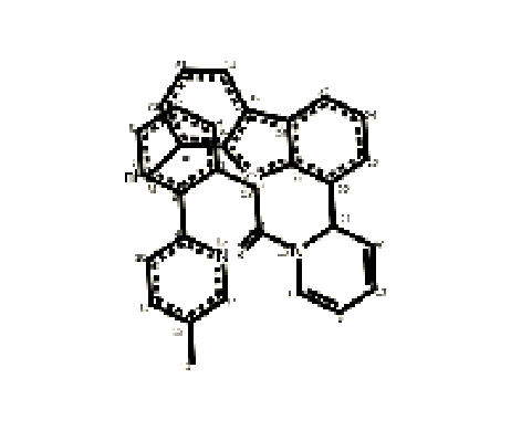 C=C(Cc1ccccc1-c1ccc(C)cn1)N1C=CC=CC1c1cccc2c1oc1c(CCC)cccc12